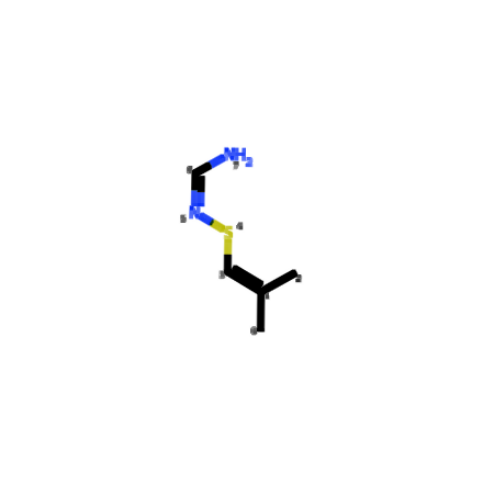 CC(C)=CS/N=C\N